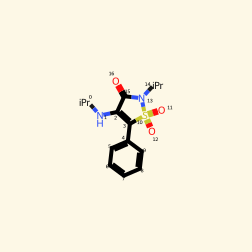 CC(C)NC1=C(c2ccccc2)S(=O)(=O)N(C(C)C)C1=O